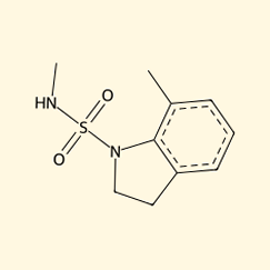 CNS(=O)(=O)N1CCc2cccc(C)c21